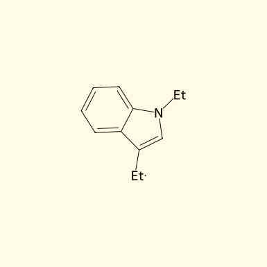 C[CH]c1cn(CC)c2ccccc12